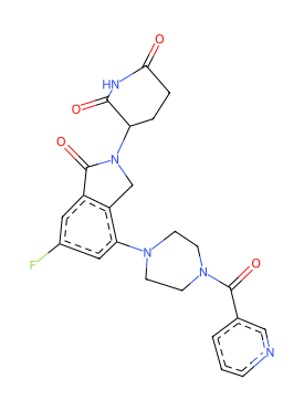 O=C1CCC(N2Cc3c(cc(F)cc3N3CCN(C(=O)c4cccnc4)CC3)C2=O)C(=O)N1